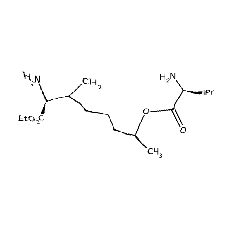 CCOC(=O)[C@@H](N)C(C)CCCC(C)OC(=O)[C@@H](N)C(C)C